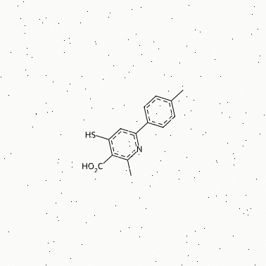 Cc1ccc(-c2cc(S)c(C(=O)O)c(C)n2)cc1